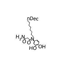 CCCCCCCCCCCCCCCCCCN(C(=O)CC(N)=O)c1ccc(O)c(O)c1